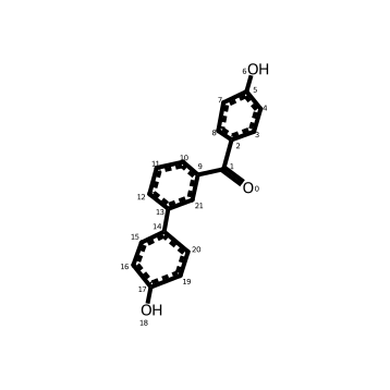 O=C(c1ccc(O)cc1)c1cccc(-c2ccc(O)cc2)c1